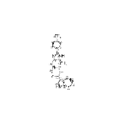 Cc1[nH]c(-c2ccc(C(F)(F)F)cc2)nc1CN1CCC(c2c[nH]c3ccncc23)CC1